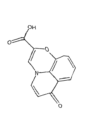 O=C(O)C1=Cn2ccc(=O)c3cccc(c32)O1